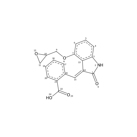 O=C1Nc2cccc(OCC3CO3)c2/C1=C\c1ccccc1C(=O)O